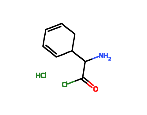 Cl.NC(C(=O)Cl)C1C=CC=CC1